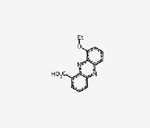 CCOc1cccc2nc3cccc(C(=O)O)c3nc12